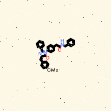 COc1ccc(C=C2N=C(c3ccccc3)N(c3ccc(CC(=O)NCc4ccccc4)cc3)C2=O)cc1